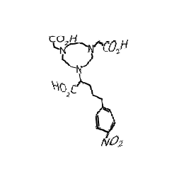 O=C(O)CN1CCN(CC(=O)O)CCN(C(CCCc2ccc([N+](=O)[O-])cc2)C(=O)O)CC1